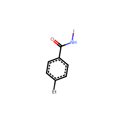 CCc1ccc(C(=O)NI)cc1